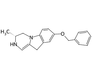 C[C@@H]1CN2C(=CN1)Cc1cc(OCc3ccccc3)ccc12